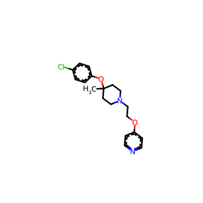 CC1(Oc2ccc(Cl)cc2)CCN(CCOc2ccncc2)CC1